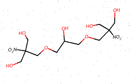 O=[N+]([O-])C(CO)(CO)COCC(O)COCC(CO)(CO)[N+](=O)[O-]